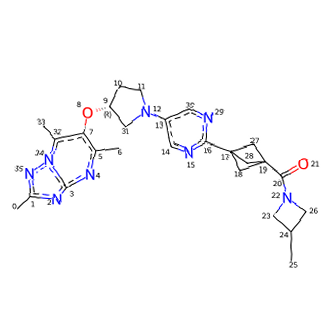 Cc1nc2nc(C)c(O[C@@H]3CCN(c4cnc(C56CC(C(=O)N7CC(C)C7)(C5)C6)nc4)C3)c(C)n2n1